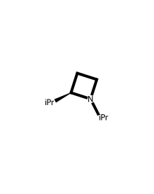 CC(C)[C@H]1CCN1C(C)C